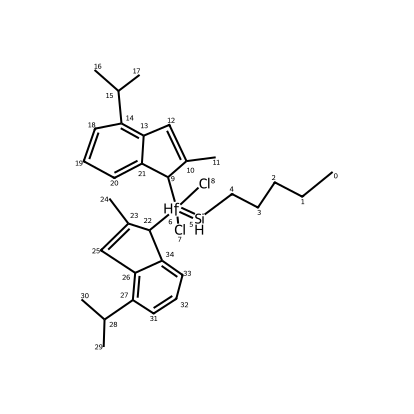 CCCCC[SiH]=[Hf]([Cl])([Cl])([CH]1C(C)=Cc2c(C(C)C)cccc21)[CH]1C(C)=Cc2c(C(C)C)cccc21